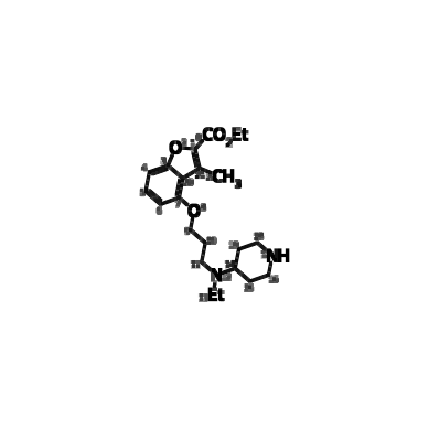 CCOC(=O)c1oc2cccc(OCCCN(CC)C3CCNCC3)c2c1C